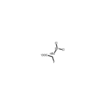 CCC[CH2][Sn+]([Cl])[Cl].O=C([O-])CF